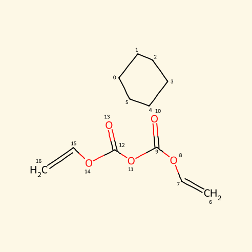 C1CCCCC1.C=COC(=O)OC(=O)OC=C